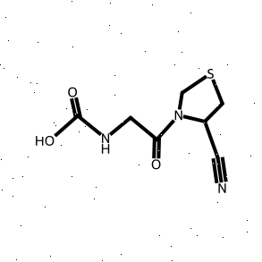 N#CC1CSCN1C(=O)CNC(=O)O